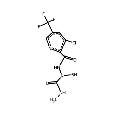 CNC(=O)N(S)NC(=O)c1ncc(C(F)(F)F)cc1Cl